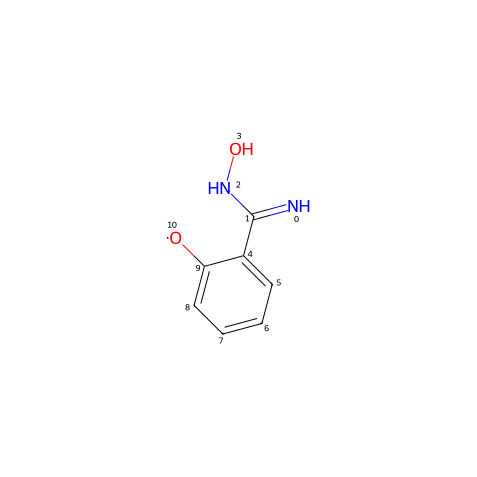 N=C(NO)c1ccccc1[O]